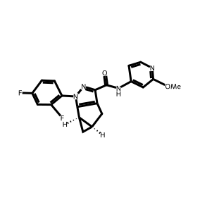 COc1cc(NC(=O)c2nn(-c3ccc(F)cc3F)c3c2C[C@H]2C[C@@H]32)ccn1